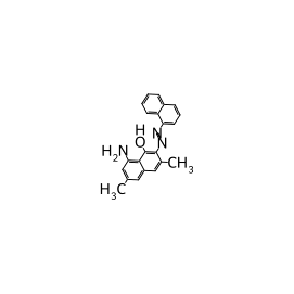 Cc1cc(N)c2c(O)c(N=Nc3cccc4ccccc34)c(C)cc2c1